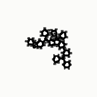 c1ccc(N(c2ccccc2)c2cccc(-c3ccc4c(c3)-c3ccc(N(c5ccccc5)c5ccc6oc7ccccc7c6c5)cc3[Si]4(c3ccccc3)c3ccccc3)c2)cc1